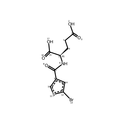 O=C(O)CC[C@@H](NC(=O)c1csc(Br)c1)C(=O)O